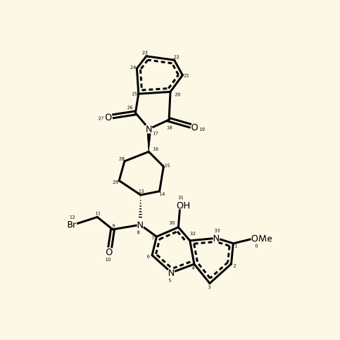 COc1ccc2ncc(N(C(=O)CBr)[C@H]3CC[C@H](N4C(=O)c5ccccc5C4=O)CC3)c(O)c2n1